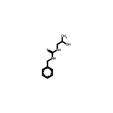 CC(O)CNC(=S)NCc1ccccc1